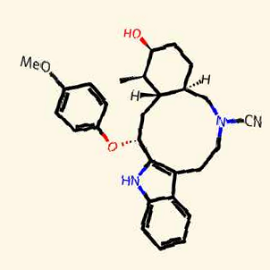 COc1ccc(O[C@@H]2C[C@H]3[C@@H](CC[C@H](O)[C@@H]3C)CN(C#N)CCc3c2[nH]c2ccccc32)cc1